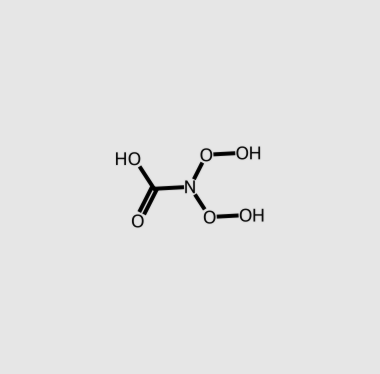 O=C(O)N(OO)OO